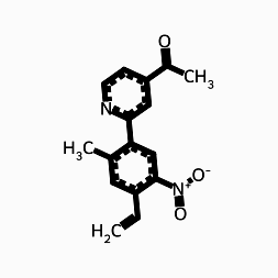 C=Cc1cc(C)c(-c2cc(C(C)=O)ccn2)cc1[N+](=O)[O-]